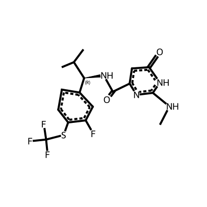 CNc1nc(C(=O)N[C@@H](c2ccc(SC(F)(F)F)c(F)c2)C(C)C)cc(=O)[nH]1